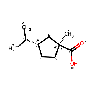 CC(C)[C@H]1CC[C@](C)(C(=O)O)C1